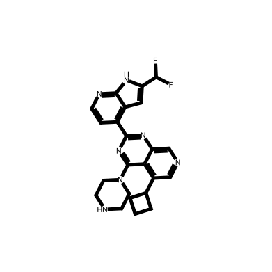 FC(F)c1cc2c(-c3nc(N4CCNCC4)c4c(C5CCC5)cncc4n3)ccnc2[nH]1